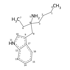 CCCCC(N)(CC)Cc1c[nH]c2ccccc12